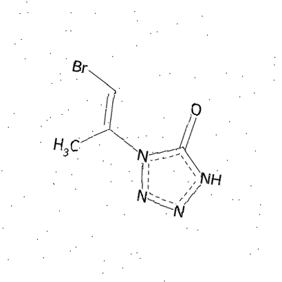 CC(=CBr)n1nn[nH]c1=O